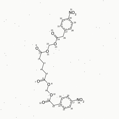 O=C(CCCCC(=O)OCOC(=O)Cc1ccc([N+](=O)[O-])cc1)OCOC(=O)Cc1ccc([N+](=O)[O-])cc1